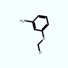 Nc1cccc(OCCl)c1